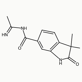 CC(=N)NC(=O)c1ccc2c(c1)NC(=O)C2(C)C